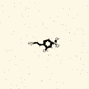 NCCc1ccc([N+](=O)[O-])cc1Cl